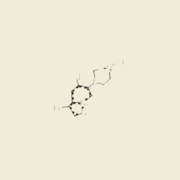 CC(C)c1cnn2cc(N3CCN(C)CC3)c(Cl)cc12